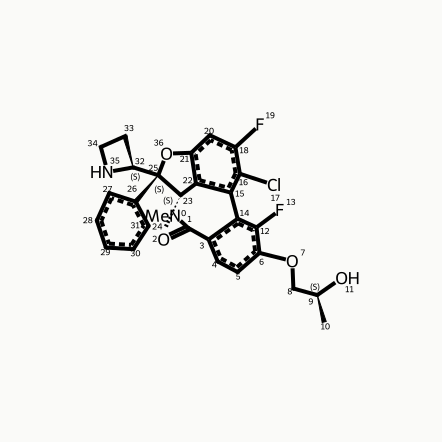 CNC(=O)c1ccc(OC[C@H](C)O)c(F)c1-c1c(Cl)c(F)cc2c1[C@H](C)[C@](c1ccccc1)([C@@H]1CCN1)O2